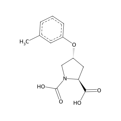 Cc1cccc(O[C@@H]2C[C@@H](C(=O)O)N(C(=O)O)C2)c1